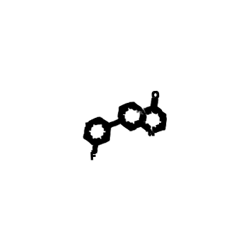 O=c1ccnc2cc(-c3cccc(F)c3)ccn12